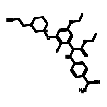 CCOC(=O)C(Nc1ccc(C(=N)N)cc1)c1cc(OCC)cc(O[C@@H]2CCCN(CCO)C2)c1F